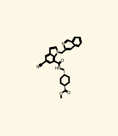 COC(=O)[C@H]1CC[C@H](CNC(=O)c2cc(C#N)cc3ccn(Cc4cc5ccccc5cn4)c23)CC1